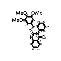 COc1cc(CSc2nc3ccccc3c(=O)n2-c2ccccc2)cc(OC)c1OC